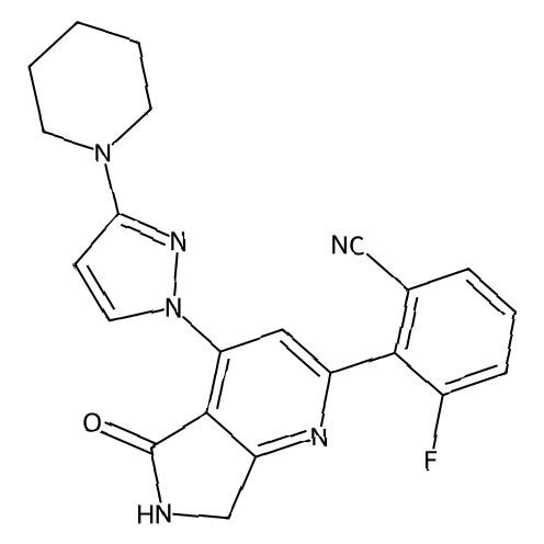 N#Cc1cccc(F)c1-c1cc(-n2ccc(N3CCCCC3)n2)c2c(n1)CNC2=O